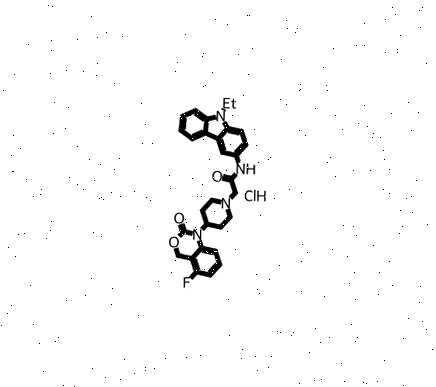 CCn1c2ccccc2c2cc(NC(=O)CN3CCC(N4C(=O)OCc5c(F)cccc54)CC3)ccc21.Cl